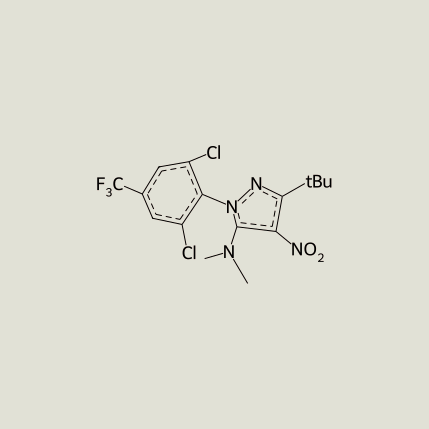 CN(C)c1c([N+](=O)[O-])c(C(C)(C)C)nn1-c1c(Cl)cc(C(F)(F)F)cc1Cl